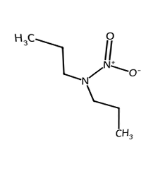 CCCN(CCC)[N+](=O)[O-]